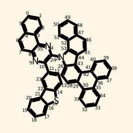 c1ccc2c(c1)ccc1nc(-c3ccc4sc5ccccc5c4c3)c(-n3c4ccc5c6ccccc6c6ccccc6c5c4c4ccc5ccccc5c43)nc12